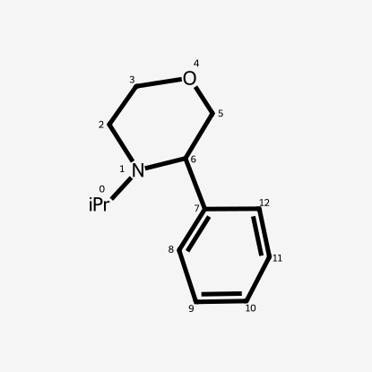 CC(C)N1CCOCC1c1ccccc1